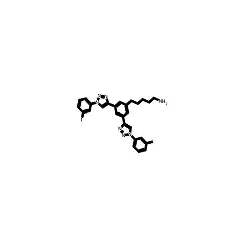 NCCCCCc1cc(-c2cn(-c3cccc(I)c3)nn2)cc(-c2cn(-c3cccc(I)c3)nn2)c1